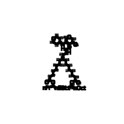 CCCCCCCCC(CCC)OC(=O)CCCCCCCN(CCCCCCCC(=O)OC(CCCCCCCC)CCCCCCCC)CCCNC1=C(NC2CCOCC2)COCC1=O